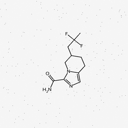 CC(F)(F)CC1CCc2cnc(C(N)=O)n2C1